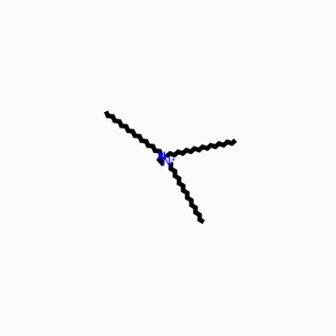 CCCCCCCCCCCCCCCCCc1n(CCCCCCCCCCCCCCCCC)cc[n+]1CCCCCCCCCCCCCCCCC